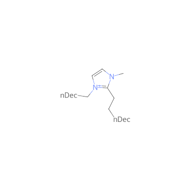 CCCCCCCCCCCCc1n(C)cc[n+]1CCCCCCCCCCC